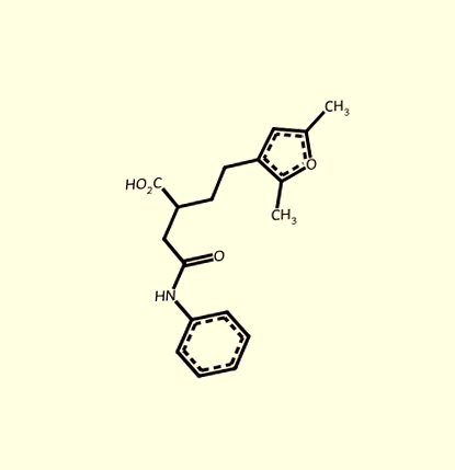 Cc1cc(CCC(CC(=O)Nc2ccccc2)C(=O)O)c(C)o1